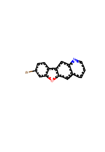 Brc1ccc2c(c1)oc1cc3cccnc3cc12